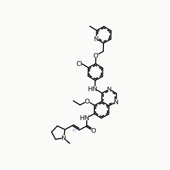 CCOc1c(NC(=O)/C=C/C2CCCN2C)ccc2ncnc(Nc3ccc(OCc4cccc(C)n4)c(Cl)c3)c12